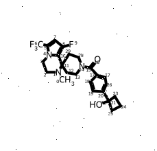 CN1CCn2c(C(F)(F)F)cc(F)c2C12CCN(C(=O)c1ccc(C3(O)CCC3)cc1)CC2